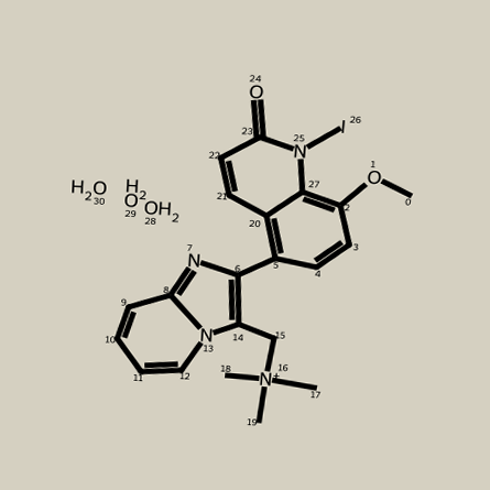 COc1ccc(-c2nc3ccccn3c2C[N+](C)(C)C)c2ccc(=O)n(I)c12.O.O.O